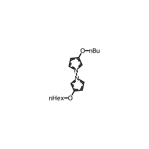 CCCCCCOc1ccn(-n2ccc(OCCCC)c2)c1